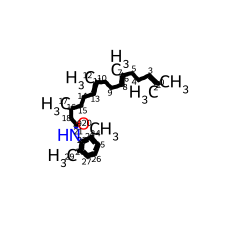 CC(C)=CCC/C(C)=C/CC/C(C)=C/CCC(C)CC(=O)Nc1c(C)cccc1C